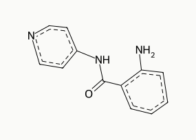 Nc1ccccc1C(=O)Nc1ccncc1